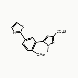 CCOC(=O)c1cc(-c2cc(-c3nccs3)ccc2OC)n(C)n1